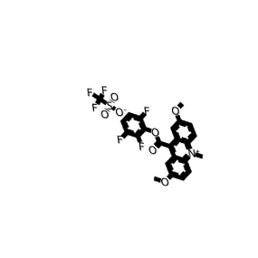 COc1ccc2c(c1)c(C(=O)Oc1c(F)ccc(F)c1F)c1cc(OC)ccc1[n+]2C.O=S(=O)([O-])C(F)(F)F